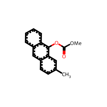 COC(=O)Oc1c2ccccc2cc2ccc(C)cc12